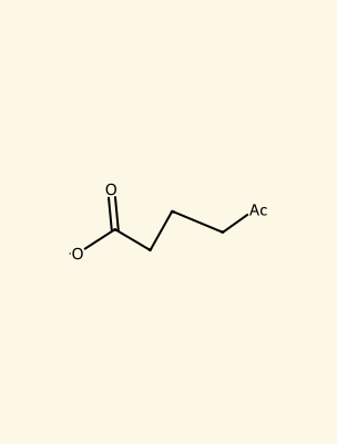 CC(=O)CCCC([O])=O